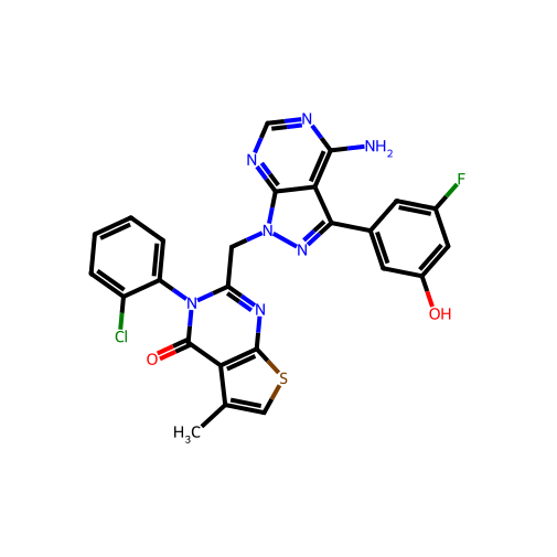 Cc1csc2nc(Cn3nc(-c4cc(O)cc(F)c4)c4c(N)ncnc43)n(-c3ccccc3Cl)c(=O)c12